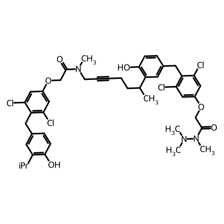 CC(C)c1cc(Cc2c(Cl)cc(OCC(=O)N(C)CC#CCCC(C)c3cc(Cc4c(Cl)cc(OCC(=O)N(C)N(C)C)cc4Cl)ccc3O)cc2Cl)ccc1O